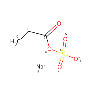 CCC(=O)OS(=O)(=O)[O-].[Na+]